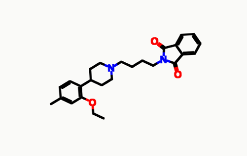 CCOc1cc(C)ccc1C1CCN(CCCCN2C(=O)c3ccccc3C2=O)CC1